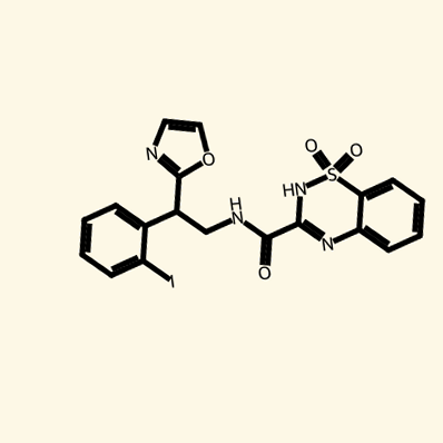 O=C(NCC(c1ncco1)c1ccccc1I)C1=Nc2ccccc2S(=O)(=O)N1